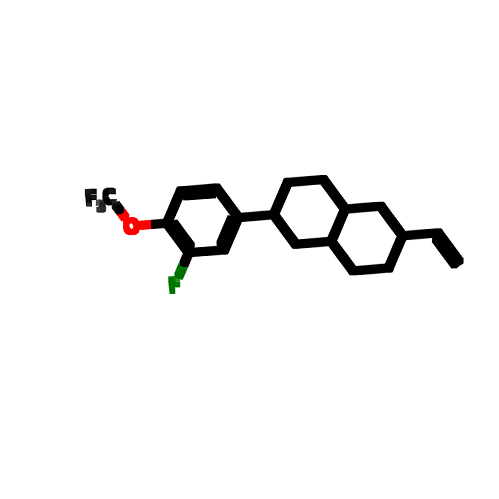 C=CC1CCC2CC(c3ccc(OC(F)(F)F)c(F)c3)CCC2C1